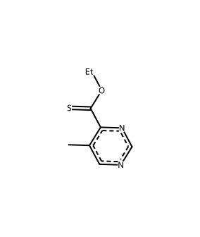 CCOC(=S)c1ncncc1C